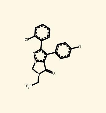 O=C1c2c(-c3ccc(Cl)cc3)c(-c3ccccc3Cl)nn2CN1CC(F)(F)F